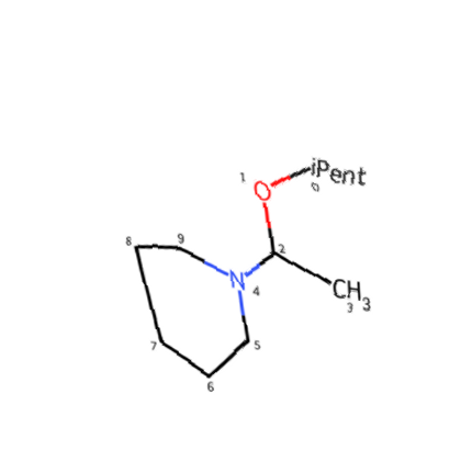 CCCC(C)OC(C)N1CCCCC1